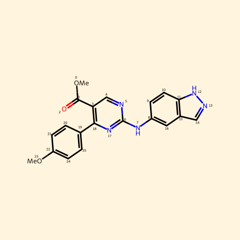 COC(=O)c1cnc(Nc2ccc3[nH]ncc3c2)nc1-c1ccc(OC)cc1